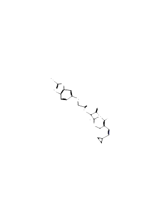 Nc1nc2ccc(NCC(=O)NC3C(=O)N4C(C(=O)O)=C(/C=C\C5CC5)CS[C@@H]34)cc2s1